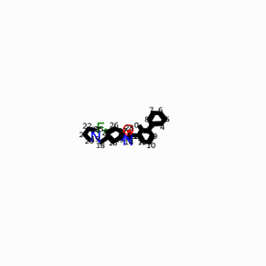 Cc1c(-c2ccccc2)cccc1-c1nc2cc(CN3CCCC3)c(F)cc2o1